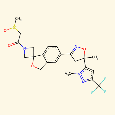 Cn1nc(C(F)(F)F)cc1C1(C)CC(c2ccc3c(c2)COC32CN(C(=O)C[S+](C)[O-])C2)=NO1